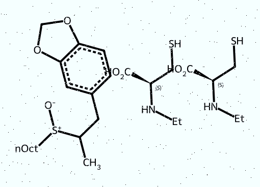 CCCCCCCC[S+]([O-])C(C)Cc1ccc2c(c1)OCO2.CCN[C@H](CS)C(=O)O.CCN[C@H](CS)C(=O)O